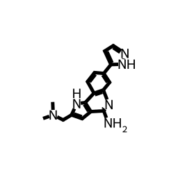 CN(C)Cc1cc2c(N)nc3cc(-c4ccn[nH]4)ccc3c2[nH]1